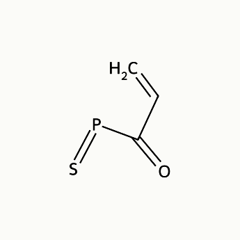 C=CC(=O)P=S